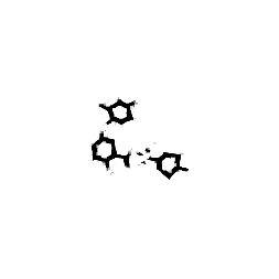 Cc1ccc(S(=O)(=O)NC(=O)c2cc(Oc3ccc(C(F)(F)F)cc3Cl)ccc2[N+](=O)[O-])cc1